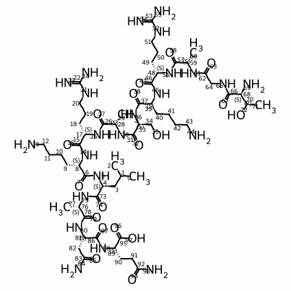 CC(C)C[C@H](NC(=O)[C@H](CCCCN)NC(=O)[C@H](CCCNC(=N)N)NC(=O)[C@H](C)NC(=O)[C@H](CO)NC(=O)[C@H](CCCCN)NC(=O)[C@H](CCCNC(=N)N)NC(=O)[C@H](C)NC(=O)CNC(=O)[C@@H](N)[C@@H](C)O)C(=O)N[C@@H](C)C(=O)N[C@@H](CC(N)=O)C(=O)N[C@@H](CCC(N)=O)C(=O)O